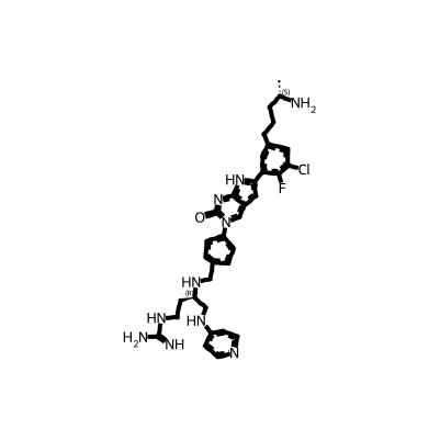 C[C@H](N)CCCc1cc(Cl)c(F)c(-c2cc3cn(-c4ccc(CN[C@H](CCNC(=N)N)CNc5ccncc5)cc4)c(=O)nc3[nH]2)c1